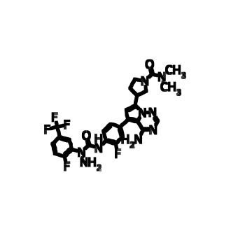 CN(C)C(=O)N1CCC(c2cc(-c3ccc(NC(=O)N(N)c4cc(C(F)(F)F)ccc4F)c(F)c3)c3c(N)ncnn23)C1